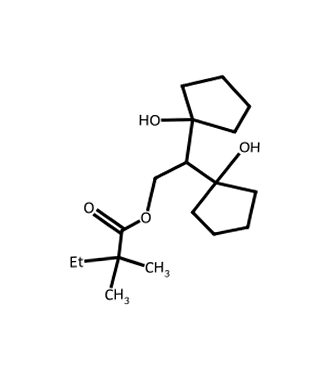 CCC(C)(C)C(=O)OCC(C1(O)CCCC1)C1(O)CCCC1